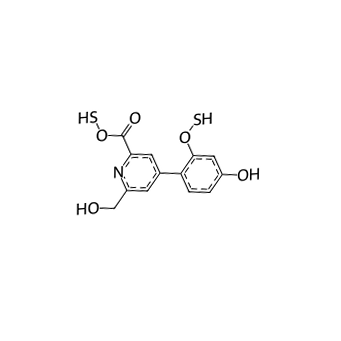 O=C(OS)c1cc(-c2ccc(O)cc2OS)cc(CO)n1